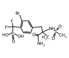 CC(Cc1ccc(C(F)(F)P(=O)(O)O)c(Br)c1)(NS(C)(=O)=O)C(N)=O